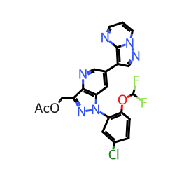 CC(=O)OCc1nn(-c2cc(Cl)ccc2OC(F)F)c2cc(-c3cnn4cccnc34)cnc12